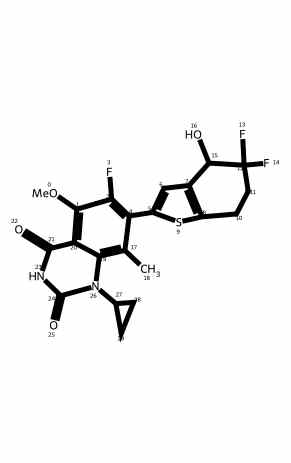 COc1c(F)c(-c2cc3c(s2)CCC(F)(F)C3O)c(C)c2c1c(=O)[nH]c(=O)n2C1CC1